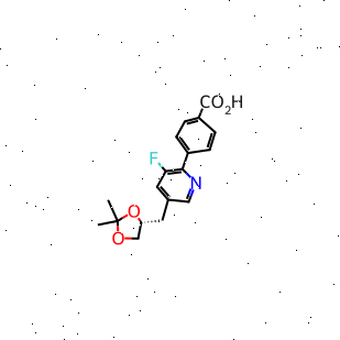 CC1(C)OC[C@@H](Cc2cnc(-c3ccc(C(=O)O)cc3)c(F)c2)O1